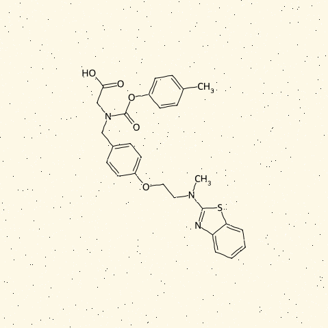 Cc1ccc(OC(=O)N(CC(=O)O)Cc2ccc(OCCN(C)c3nc4ccccc4s3)cc2)cc1